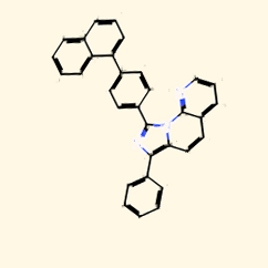 c1ccc(-c2nc(-c3ccc(-c4cccc5ccccc45)cc3)n3c2ccc2cccnc23)cc1